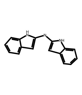 c1ccc2[nH]c([N]c3cc4ccccc4[nH]3)cc2c1